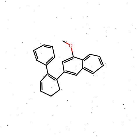 COc1cc(C2=C(c3ccccc3)C=CC[CH]2)cc2ccccc12